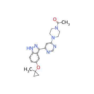 CC(=O)N1CCN(c2cc(-c3n[nH]c4ccc(OC5(C)CC5)cc34)ncn2)CC1